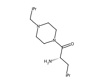 CC(C)C[C@H](N)C(=O)N1CCN(CC(C)C)CC1